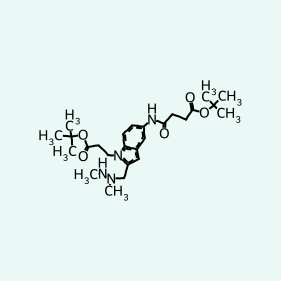 CNN(C)Cc1cc2cc(NC(=O)CCC(=O)OC(C)(C)C)ccc2n1CCC(=O)OC(C)(C)C